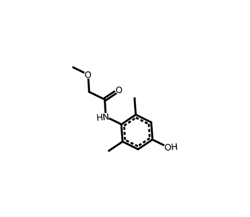 COCC(=O)Nc1c(C)cc(O)cc1C